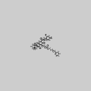 O=C(OCCCOCc1ccccc1)OCOc1c2n(cc(C(=O)NCc3ccc(F)cc3F)c1=O)C[C@@H]1N(C[C@H]3CCCN31)C2=O